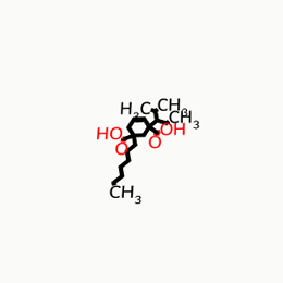 CCCCCCCC1(C(=O)O)CC=CC(C(=O)O)(C(CC)C(C)C)C1